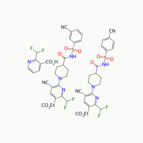 CCOC(=O)c1cc(C#N)c(N2CCC(C(=O)NS(=O)(=O)c3ccc(C#N)cc3)CC2)nc1C(F)F.CCOC(=O)c1cc(C#N)c(N2CCC(C(=O)NS(=O)(=O)c3cccc(C#N)c3)CC2)nc1C(F)F.O=C(O)c1cccnc1C(F)F